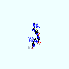 CCN/C=N\C(=N)c1cnc(C2=CCN(C(=O)CN3CC[C@@H](C(=O)N(CC)c4ccc(N)c(C(=N)c5ccc(OC(C)C)nc5)n4)C3)CC2)s1